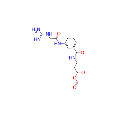 N=C(N)NCC(=O)Nc1cccc(C(=O)NCCC(=O)OC=O)c1